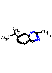 Cc1ncc2ccc(C(C)C)cc2n1